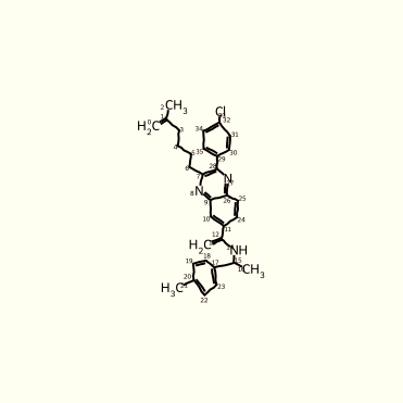 C=C(C)CCCCc1nc2cc(C(=C)NC(C)c3ccc(C)cc3)ccc2nc1-c1ccc(Cl)cc1